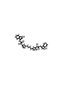 O=C(Cc1c[nH]c2ccncc12)Nc1nnc(CCCCc2nnc(NC(=O)Cc3c[nH]c4ccncc34)s2)s1